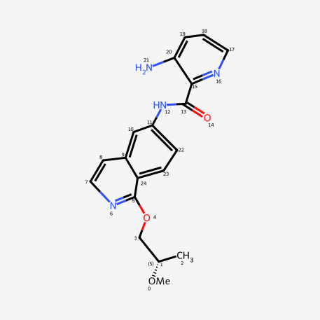 CO[C@@H](C)COc1nccc2cc(NC(=O)c3ncccc3N)ccc12